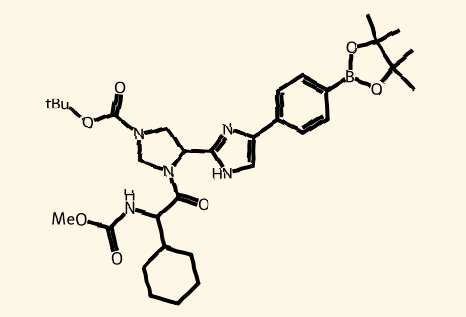 COC(=O)NC(C(=O)N1CN(C(=O)OC(C)(C)C)CC1c1nc(-c2ccc(B3OC(C)(C)C(C)(C)O3)cc2)c[nH]1)C1CCCCC1